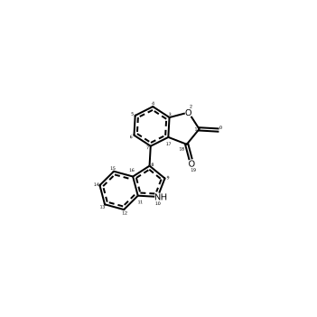 C=C1Oc2cccc(-c3c[nH]c4ccccc34)c2C1=O